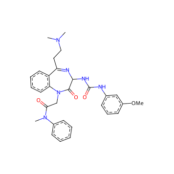 COc1cccc(NC(=O)NC2N=C(CCN(C)C)c3ccccc3N(CC(=O)N(C)c3ccccc3)C2=O)c1